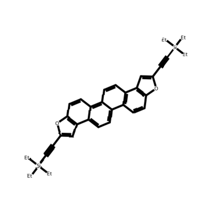 CC[Si](C#Cc1cc2c(ccc3c2ccc2c4ccc5oc(C#C[Si](CC)(CC)CC)cc5c4ccc32)o1)(CC)CC